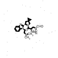 CCCC[C@H](CN(O)C=O)C(=O)N1CC2(CC2)C[C@H]1c1nc2ccccc2n1CCN(C)C